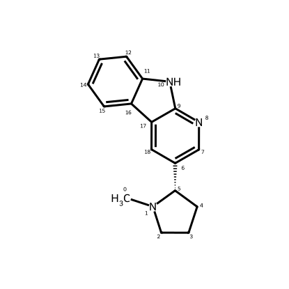 CN1CCC[C@H]1c1cnc2[nH]c3ccccc3c2c1